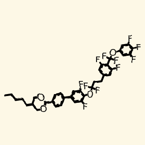 CCCCCC1COC(c2ccc(-c3cc(F)c(OC(F)(F)CCc4cc(F)c(C(F)(F)Oc5cc(F)c(F)c(F)c5)c(F)c4)c(F)c3)cc2)OC1